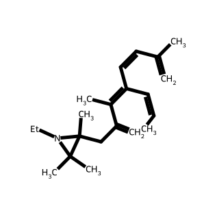 C=C(C)\C=C/C(/C=C\C)=C(\C)C(=C)CC1(C)N(CC)C1(C)C